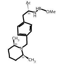 COBN[C@H](Cc1ccc(CN2[C@H](C)CCC[C@@H]2C)cc1)C(C)=O